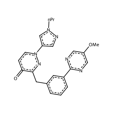 CCCn1cc(-n2ccc(=O)c(Cc3cccc(-c4ncc(OC)cn4)c3)n2)cn1